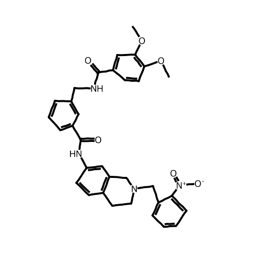 COc1ccc(C(=O)NCc2cccc(C(=O)Nc3ccc4c(c3)CN(Cc3ccccc3[N+](=O)[O-])CC4)c2)cc1OC